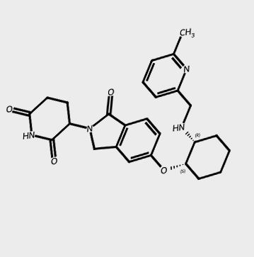 Cc1cccc(CN[C@@H]2CCCC[C@@H]2Oc2ccc3c(c2)CN(C2CCC(=O)NC2=O)C3=O)n1